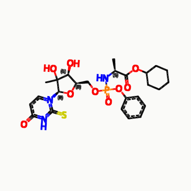 C[C@H](NP(=O)(OC[C@H]1O[C@@H](n2ccc(=O)[nH]c2=S)C(C)(O)[C@H]1O)Oc1ccccc1)C(=O)OC1CCCCC1